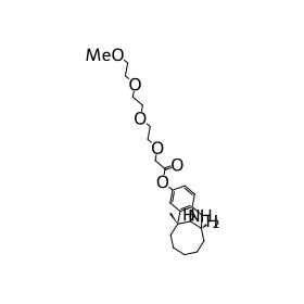 COCCOCCOCCOCC(=O)Oc1ccc2c(c1)[C@@]1(C)CCCCC[C@@H](C2)[C@@H]1N